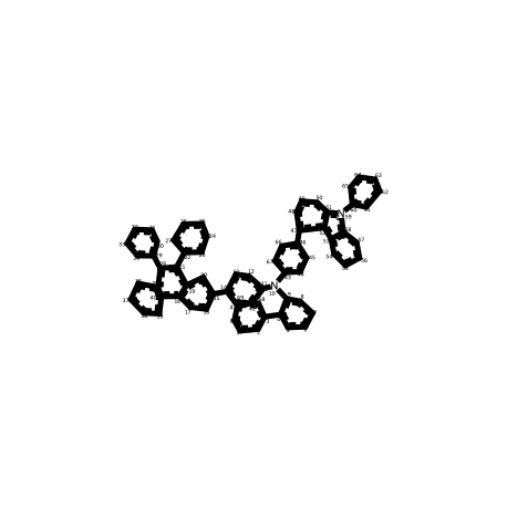 c1ccc(-c2ccccc2N(c2ccc(-c3ccc4c(c3)c(-c3ccccc3)c(-c3ccccc3)c3ccccc34)cc2)c2ccc(-c3cccc4c3c3ccccc3n4-c3ccccc3)cc2)cc1